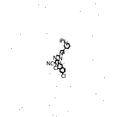 CC(C)N1CCC[C@@H](C2CN(c3cnc4c(C#N)nn([C@H](C)c5ccc(Cl)cc5Cl)c4n3)C2)C1